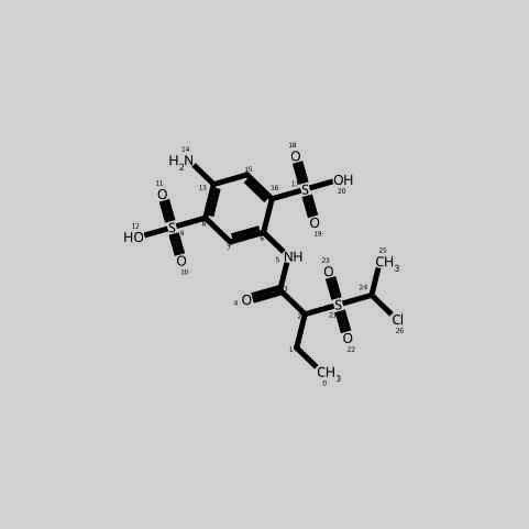 CCC(C(=O)Nc1cc(S(=O)(=O)O)c(N)cc1S(=O)(=O)O)S(=O)(=O)C(C)Cl